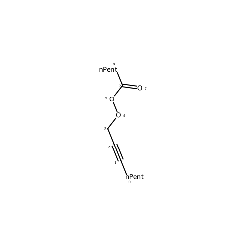 CCCCCC#CCOOC(=O)CCCCC